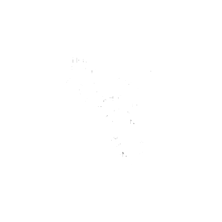 CC(OC(=O)Nc1c(C#Cc2cc3sc(C4(C(=O)O)CC4)cc3s2)oc2ncccc12)c1ccccc1Cl